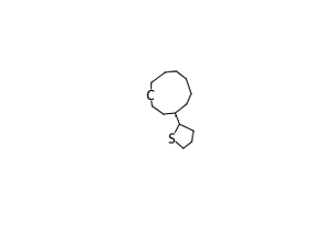 C1CCCC[C](C2CCCS2)CCCC1